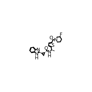 C[C@@H](NC(=O)[C@@H]1C[C@H]1c1nc2ccccc2[nH]1)c1ccc(C(=O)N2CCCC(F)C2)s1